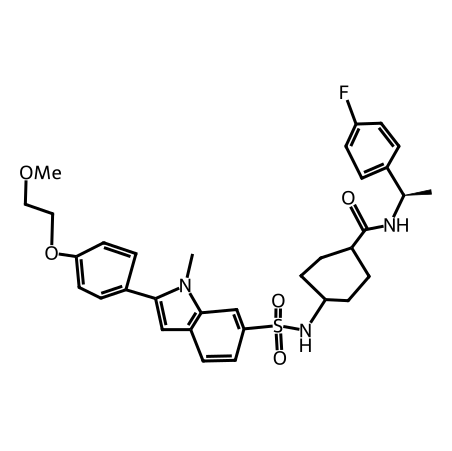 COCCOc1ccc(-c2cc3ccc(S(=O)(=O)NC4CCC(C(=O)N[C@H](C)c5ccc(F)cc5)CC4)cc3n2C)cc1